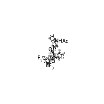 CC(=O)NC1(c2ccccc2)CCN(CC(=O)N2CCN(C(=O)c3cc(C(F)(F)F)cc(C(F)(F)F)c3)[C@H](Cc3ccc(C)c(C)c3)C2)CC1